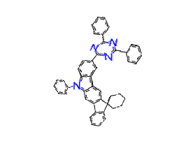 c1ccc(-c2nc(-c3ccccc3)nc(-c3ccc4c(c3)c3cc5c(cc3n4-c3ccccc3)-c3ccccc3C53CCCCC3)n2)cc1